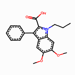 CCCn1c(C(=O)O)c(-c2ccccc2)c2cc(OC)c(OC)cc21